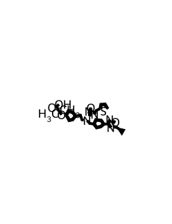 CC(C)(Oc1ccc(CCN(Cc2ccc(-c3noc(C4CC4)n3)cc2)c2noc(-c3cccs3)n2)cc1)C(=O)O